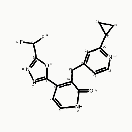 O=c1[nH]ccc(-c2nnc(C(F)F)o2)c1Cc1ccnc(C2CC2)c1